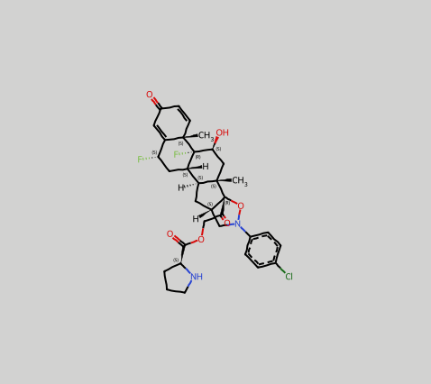 C[C@]12C=CC(=O)C=C1[C@@H](F)C[C@H]1[C@@H]3C[C@H]4CN(c5ccc(Cl)cc5)O[C@@]4(C(=O)COC(=O)[C@@H]4CCCN4)[C@@]3(C)C[C@H](O)[C@@]12F